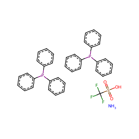 N.O=S(=O)(O)C(F)(F)F.c1ccc(P(c2ccccc2)c2ccccc2)cc1.c1ccc(P(c2ccccc2)c2ccccc2)cc1